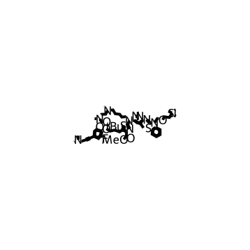 COC(=O)c1nc(N(CCCCCN(C)CCN(C)C(=O)OC(C)(C)C)c2cc(C)c(/N=c3\sc4ccccc4n3COCC[Si](C)(C)C)nn2)sc1CCCOc1ccc(C#CCN(C)C)cc1F